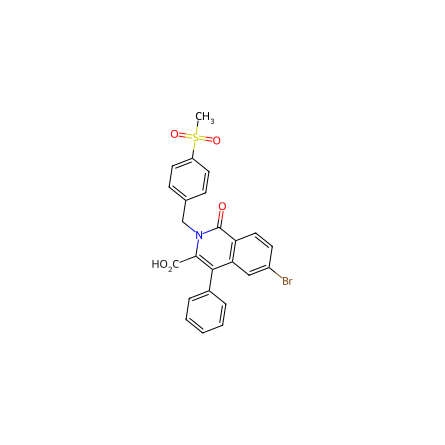 CS(=O)(=O)c1ccc(Cn2c(C(=O)O)c(-c3ccccc3)c3cc(Br)ccc3c2=O)cc1